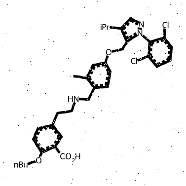 CCCCOc1ccc(CCNCc2ccc(OCc3c(C(C)C)cnn3-c3c(Cl)cccc3Cl)cc2C)cc1C(=O)O